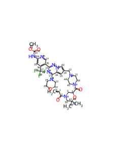 C=CC(=O)N1CC(C(=O)N2CCN(Cc3cc4c(N5CCOCC5)nc(-c5cnc(NC(=O)OC)cc5C(F)(F)F)nn4c3)CC2)OC(C)(C)C1